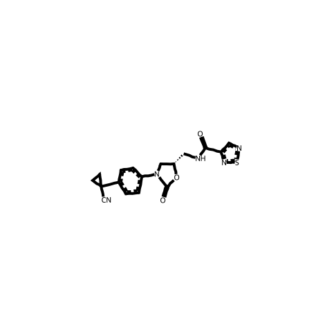 N#CC1(c2ccc(N3C[C@H](CNC(=O)c4cnsn4)OC3=O)cc2)CC1